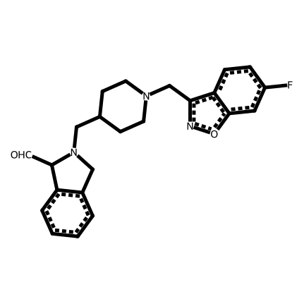 O=CC1c2ccccc2CN1CC1CCN(Cc2noc3cc(F)ccc23)CC1